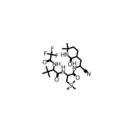 CC1(C)CCC(CC(C#N)NC(=O)C(C[Si](C)(C)C)NC(=O)C(NC(=O)C(F)(F)F)C(C)(C)C)C(=O)N1